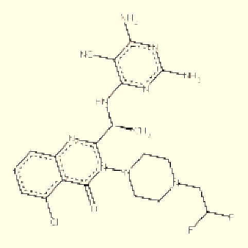 C[C@H](Nc1nc(N)nc(N)c1C#N)c1nc2cccc(Cl)c2c(=O)n1N1CCN(CC(F)F)CC1